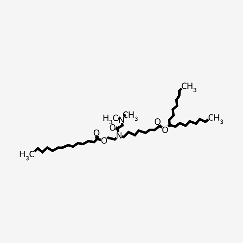 CCCCCCCCCCCCCC(=O)OCCN(CCCCCCCC(=O)OC(CCCCCCCC)CCCCCCCC)C(=O)CN(C)C